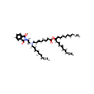 CCCCCCCCC(CCCCCCCC)OC(=O)CCCCCCCN(CCCCCCCC)CCN1C(=O)c2ccccc2C1=O